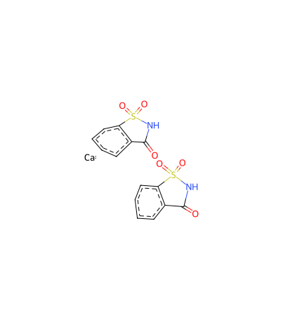 O=C1NS(=O)(=O)c2ccccc21.O=C1NS(=O)(=O)c2ccccc21.[Ca]